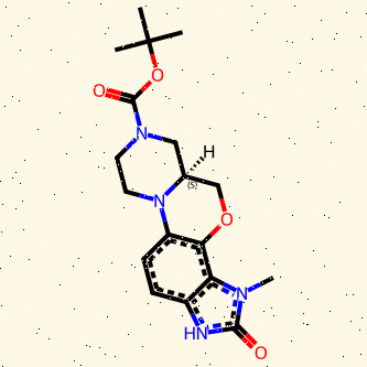 Cn1c(=O)[nH]c2ccc3c(c21)OC[C@@H]1CN(C(=O)OC(C)(C)C)CCN31